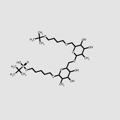 CC1C(OCC2OC(OCCCCCOP(=O)(O)C(C)(C)C)C(C)C(O)C2O)OC(COCCCCOC(C)(C)C)C(O)C1O